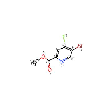 COC(=O)c1cc(F)c(Br)cn1